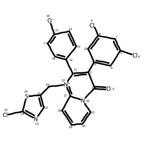 O=c1c(-c2cc(Cl)cc(Cl)c2)c(-c2ccc([O-])cc2)[n+](Cc2cnc(Cl)s2)c2ccccn12